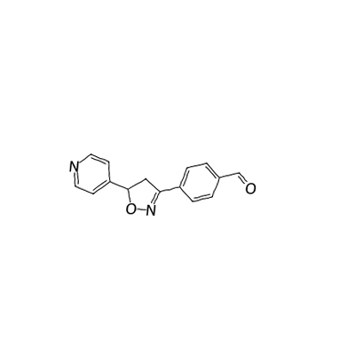 O=Cc1ccc(C2=NOC(c3ccncc3)C2)cc1